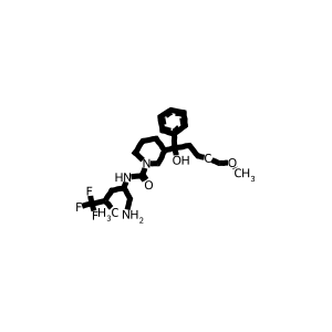 COCCCCC(O)(c1ccccc1)C1CCCN(C(=O)NC(CN)CC(C)C(F)(F)F)C1